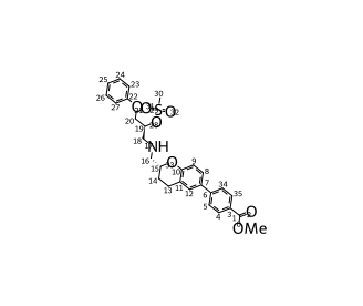 COC(=O)c1ccc(-c2ccc3c(c2)CC[C@H](CNC[C@@H](COc2ccccc2)OS(C)(=O)=O)O3)cc1